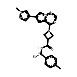 CC[C@H](NC(=O)C1CN(c2ncnn3cc(-c4cnn(C)c4)cc23)C1)c1ccc(C)cc1